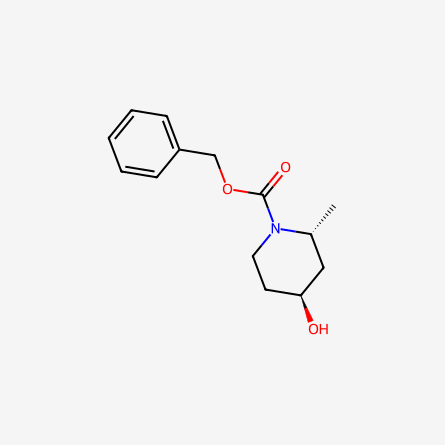 C[C@@H]1C[C@@H](O)CCN1C(=O)OCc1ccccc1